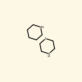 C1CCNCC1.C1CSCCN1